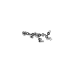 CC1(C)CCC(CN2CCN(c3ccc(C(=O)NS(=O)(=O)c4ccc(NCC5CCC(N[SH]6(=O)CCCC6)CC5)c([N+](=O)[O-])c4)c(Oc4cnc5[nH]ccc5c4)c3)CC2)=C(c2ccc(Cl)cc2)C1